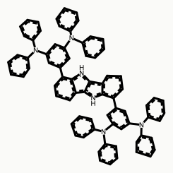 c1ccc(N(c2ccccc2)c2cc(-c3cccc4c3[nH]c3c5cccc(-c6cc(N(c7ccccc7)c7ccccc7)cc(N(c7ccccc7)c7ccccc7)c6)c5[nH]c43)cc(N(c3ccccc3)c3ccccc3)c2)cc1